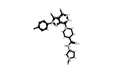 Cc1ccc(-n2nc3c(N4CCC(C(=O)N[C@H]5CCN(C)C5)CC4)nnc(C)c3c2C)cc1